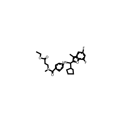 CCOC(=O)CCN(C)C(=O)c1ccc(NC(c2oc3c(F)cc(F)cc3c2C)C2CCCC2)cc1